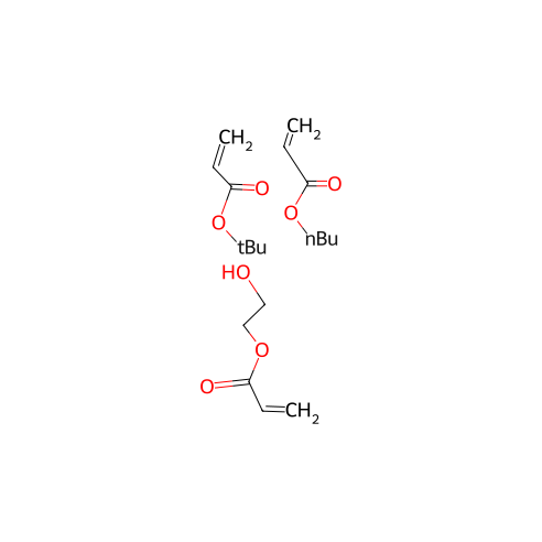 C=CC(=O)OC(C)(C)C.C=CC(=O)OCCCC.C=CC(=O)OCCO